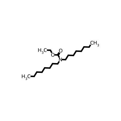 CCCCCCCCN(CCCCCCCC)C(=O)OCC